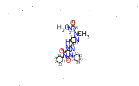 CN1CC(N(C)c2ccc(-c3nc4c([nH]3)c(=O)n(C3CCCCC3)c(=O)n4C3CCCCC3)cn2)CC1=O